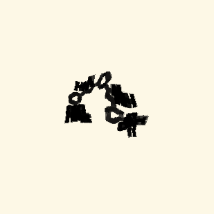 CCNS(=O)(=O)c1cccc(-c2cc(-c3cccc(-c4cc(-c5cccc(S(=O)(=O)NCC)c5)[nH]n4)c3)n[nH]2)c1